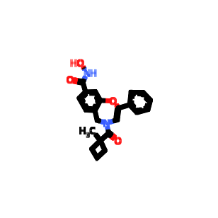 CC1(C(=O)N2C=C(c3ccccc3)Oc3cc(C(=O)NO)ccc3C2)CCC1